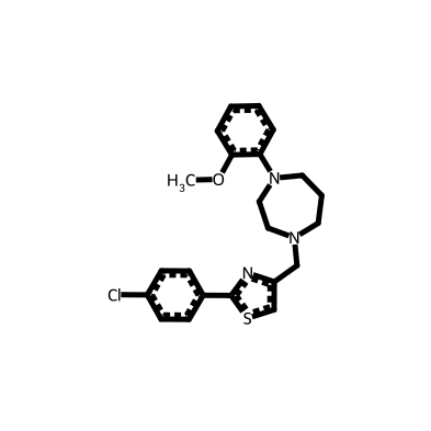 COc1ccccc1N1CCCN(Cc2csc(-c3ccc(Cl)cc3)n2)CC1